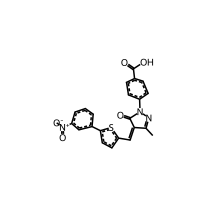 CC1=NN(c2ccc(C(=O)O)cc2)C(=O)C1=Cc1ccc(-c2cccc([N+](=O)[O-])c2)s1